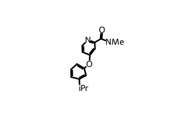 CNC(=O)c1cc(Oc2cccc(C(C)C)c2)ccn1